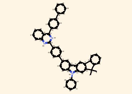 CC1(C)c2ccccc2-c2cc3c4cc(-c5ccc(-c6nc(-c7ccc(-c8ccccc8)cc7)c7ccccc7n6)cc5)ccc4n(-c4ccccc4)c3cc21